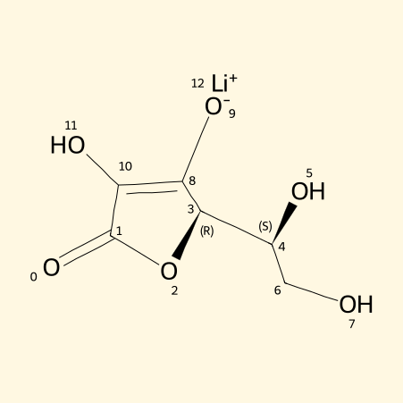 O=C1O[C@H]([C@@H](O)CO)C([O-])=C1O.[Li+]